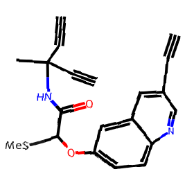 C#Cc1cnc2ccc(OC(SC)C(=O)NC(C)(C#C)C#C)cc2c1